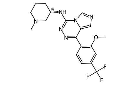 COc1cc(C(F)(F)F)ccc1-c1nnc(N[C@@H]2CCCN(C)C2)n2cncc12